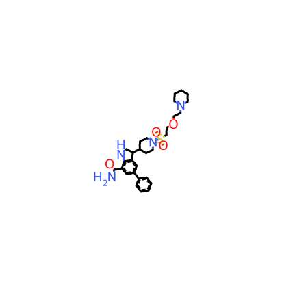 NC(=O)c1cc(-c2ccccc2)cc2c1NCC2C1CCN(S(=O)(=O)CCOCCN2CCCCC2)CC1